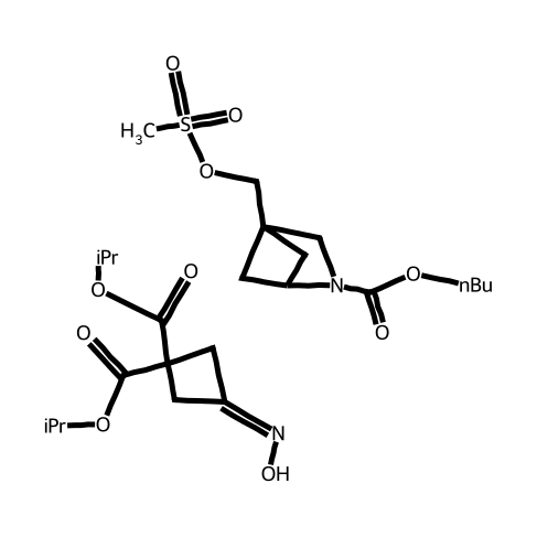 CC(C)OC(=O)C1(C(=O)OC(C)C)CC(=NO)C1.CCCCOC(=O)N1CC2(COS(C)(=O)=O)CC1C2